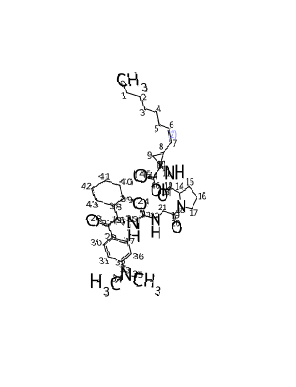 CCCCCC/C=C\C1C[C@]1(NC(=O)C1CCCN1C(=O)CNC(=O)N[C@H](C(=O)c1ccc(N(C)C)cc1)C1CCCCC1)C(=O)O